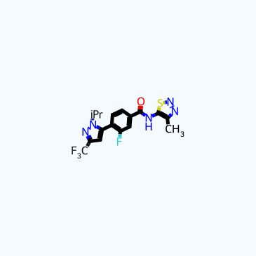 Cc1nnsc1NC(=O)c1ccc(-c2cc(C(F)(F)F)nn2C(C)C)c(F)c1